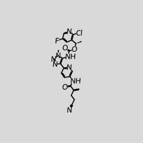 C=C(CCC#N)C(=O)Nc1ccc(-c2nnn(C)c2NC(=O)O[C@H](C)c2cc(F)cnc2Cl)nc1